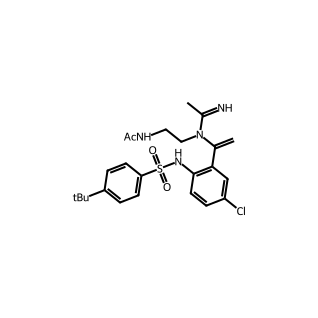 C=C(c1cc(Cl)ccc1NS(=O)(=O)c1ccc(C(C)(C)C)cc1)N(CCNC(C)=O)C(C)=N